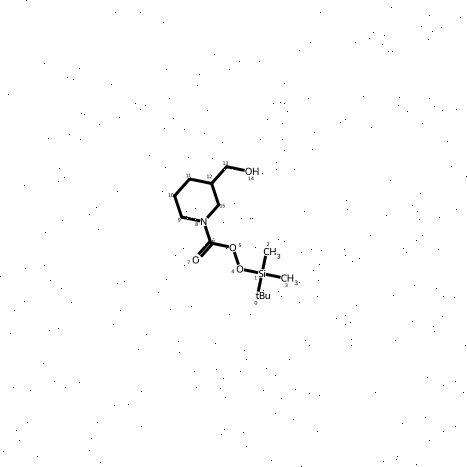 CC(C)(C)[Si](C)(C)OOC(=O)N1CCCC(CO)C1